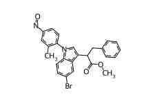 COC(=O)C(Cc1ccccc1)c1cn(-c2ccc(N=O)cc2C)c2ccc(Br)cc12